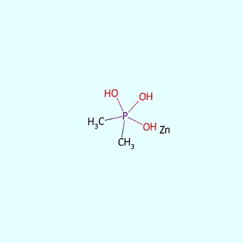 CP(C)(O)(O)O.[Zn]